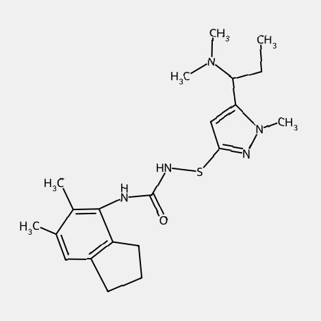 CCC(c1cc(SNC(=O)Nc2c(C)c(C)cc3c2CCC3)nn1C)N(C)C